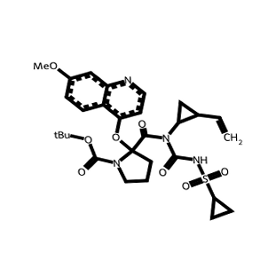 C=CC1CC1N(C(=O)NS(=O)(=O)C1CC1)C(=O)C1(Oc2ccnc3cc(OC)ccc23)CCCN1C(=O)OC(C)(C)C